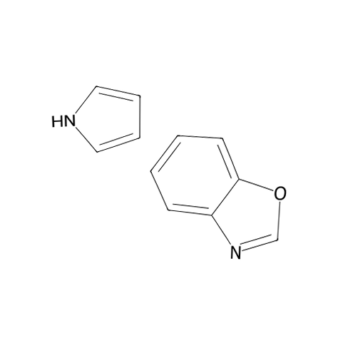 c1cc[nH]c1.c1ccc2ocnc2c1